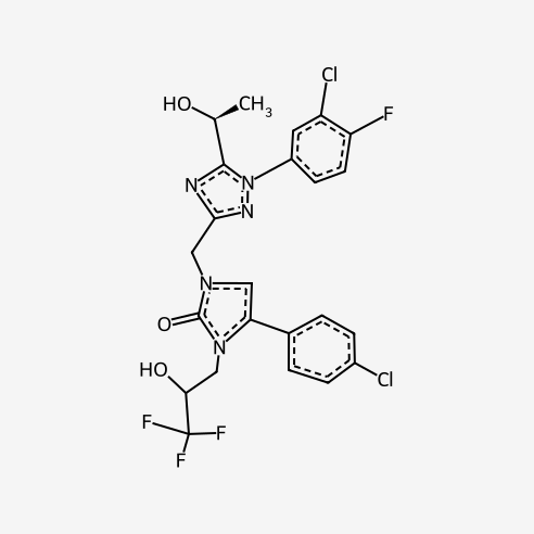 C[C@H](O)c1nc(Cn2cc(-c3ccc(Cl)cc3)n(CC(O)C(F)(F)F)c2=O)nn1-c1ccc(F)c(Cl)c1